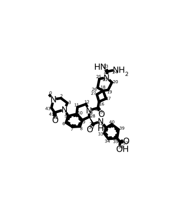 CN1CCN(c2cccc3c2CCN(C(=O)C2CC4(CCN(C(=N)N)CC4)C2)[C@H]3C(=O)Nc2ccc(C(=O)O)cc2)C(=O)C1